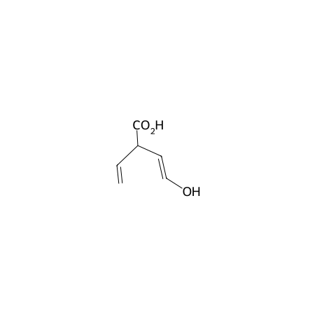 C=CC(C=CO)C(=O)O